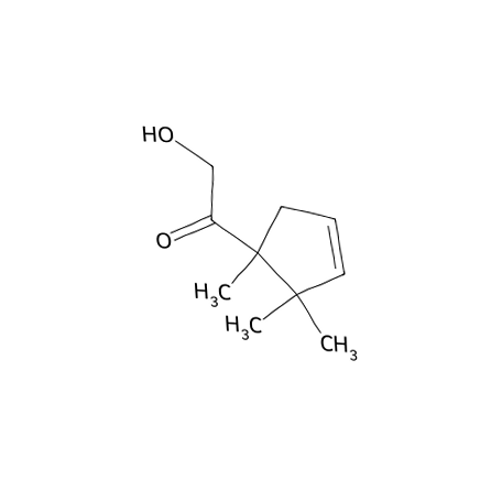 CC1(C)C=CCC1(C)C(=O)CO